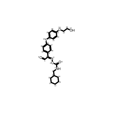 O=C/C(=N\OC(=O)NCC1CCCCC1)c1ccc(Sc2ccc(OCCO)cc2)cc1